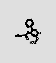 CCCCCCCCOc1cc(=NC(=O)CCCCCC)c(-c2ccccc2)n[nH]1